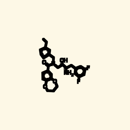 CCc1cccc(CN(C[C@@H](O)[C@@H](N)Cc2cc(F)cc(F)c2)C(=O)c2ccc3c(c2)OCCCO3)c1